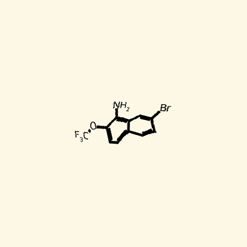 Nc1c(OC(F)(F)F)ccc2ccc(Br)cc12